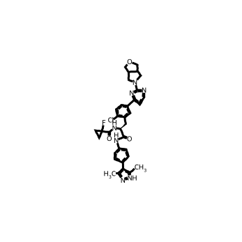 Cc1n[nH]c(C)c1-c1ccc(NC(=O)[C@H](Cc2cc(-c3ccnc(N4CC5COCC5C4)n3)ccc2Cl)NC(=O)C2(F)CC2)cc1